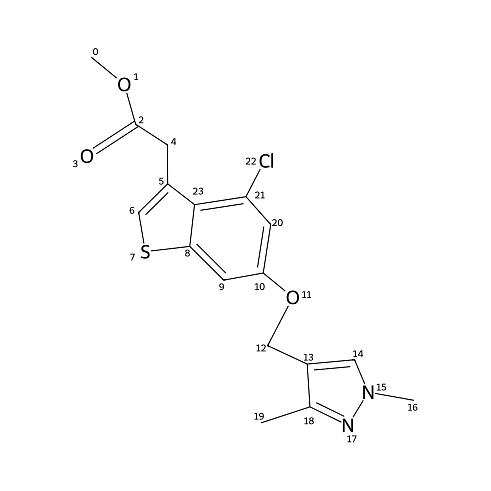 COC(=O)Cc1csc2cc(OCc3cn(C)nc3C)cc(Cl)c12